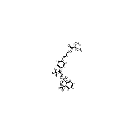 C=C(C)C(=O)OCCOc1ccc(C(=NOS(=O)(=O)c2ccccc2C(F)(F)F)C(F)(F)F)cc1